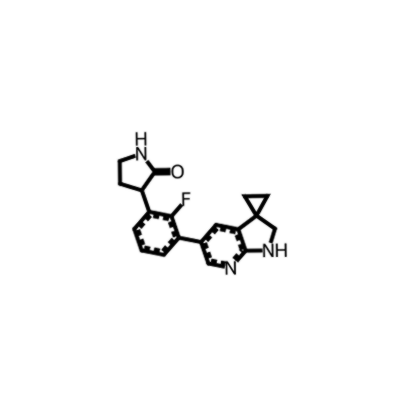 O=C1NCCC1c1cccc(-c2cnc3c(c2)C2(CC2)CN3)c1F